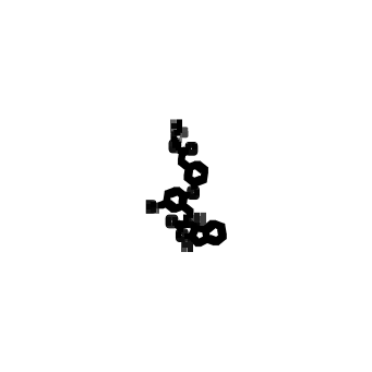 COC(=O)Cc1cccc(Oc2ccc(Br)cc2CN2C(=O)O[C@H]3Cc4ccccc4[C@H]32)c1